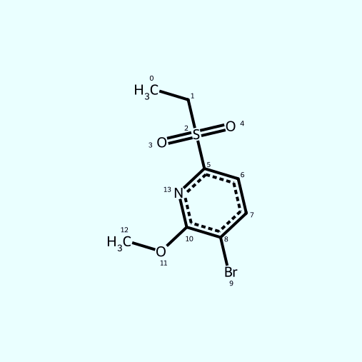 CCS(=O)(=O)c1ccc(Br)c(OC)n1